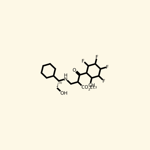 CCOC(=O)C(CN[C@H](CO)C1CCCCC1)C(=O)C1C(C)C(F)C(F)C(F)C1F